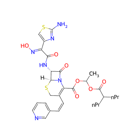 CCCC(CCC)C(=O)OC(C)OC(=O)C1=C(/C=C\c2cccnc2)CS[C@H]2[C@H](NC(=O)C(=NO)c3csc(N)n3)C(=O)N12